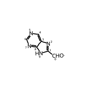 O=[C]c1nc2cncnc2[nH]1